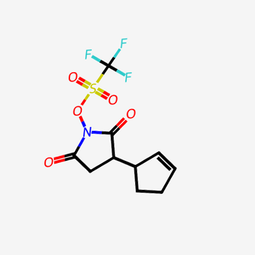 O=C1CC(C2C=CCC2)C(=O)N1OS(=O)(=O)C(F)(F)F